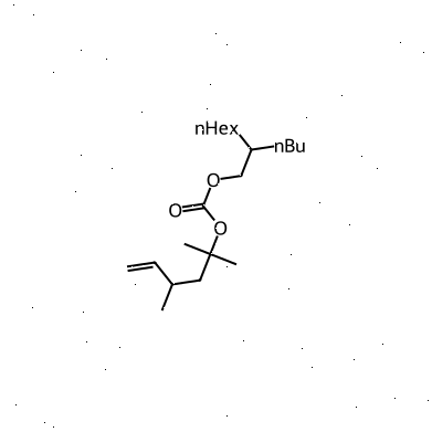 C=CC(C)CC(C)(C)OC(=O)OCC(CCCC)CCCCCC